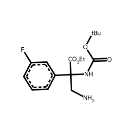 CCOC(=O)C(CN)(NC(=O)OC(C)(C)C)c1cccc(F)c1